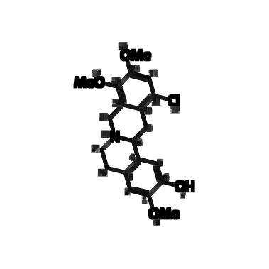 COc1cc2c(cc1O)C1Cc3c(Cl)cc(OC)c(OC)c3CN1CC2